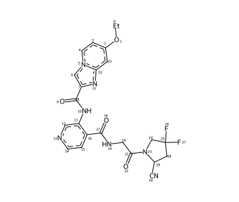 CCOc1ccn2cc(C(=O)Nc3cnccc3C(=O)NCC(=O)N3CC(F)(F)CC3C#N)nc2c1